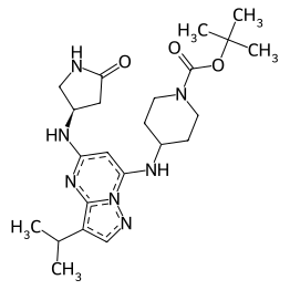 CC(C)c1cnn2c(NC3CCN(C(=O)OC(C)(C)C)CC3)cc(N[C@H]3CNC(=O)C3)nc12